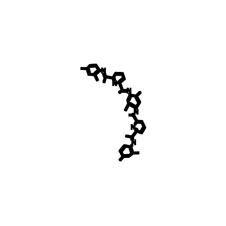 C/C(=N\c1ccc(C)cc1C)c1cccc(/C(C)=N/c2cc(C)c(/N=C(\C)c3cccc(/C(C)=N/c4ccc(C)cc4C)n3)cc2C)n1